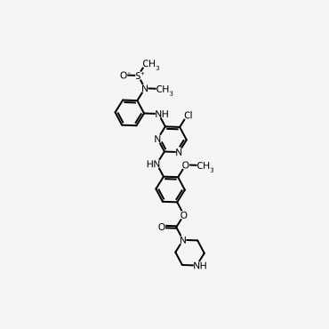 COc1cc(OC(=O)N2CCNCC2)ccc1Nc1ncc(Cl)c(Nc2ccccc2N(C)[S+](C)[O-])n1